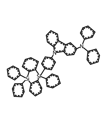 c1ccc(N(c2ccccc2)c2ccc3c(c2)c2ccccc2n3-c2ccc([Si]3(c4ccccc4)c4ccccc4[Si](c4ccccc4)(c4ccccc4)c4ccccc43)cc2)cc1